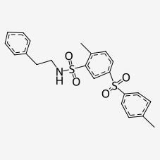 Cc1ccc(S(=O)(=O)c2ccc(C)c(S(=O)(=O)NCCc3ccccc3)c2)cc1